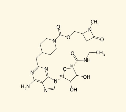 CCNC(=O)[C@H]1O[C@@H](n2cnc3c(N)nc(CC4CCN(C(=O)OCC5CC(=O)N5C)CC4)nc32)C(O)C1O